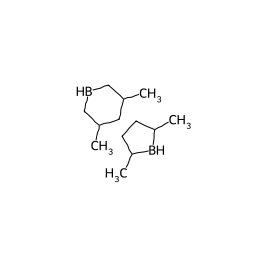 CC1BC(C)CC1.CC1CBCC(C)C1